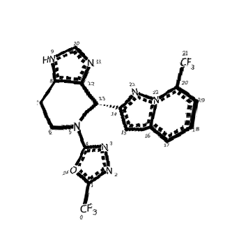 FC(F)(F)c1nnc(N2CCc3[nH]cnc3[C@@H]2c2cc3cccc(C(F)(F)F)n3n2)o1